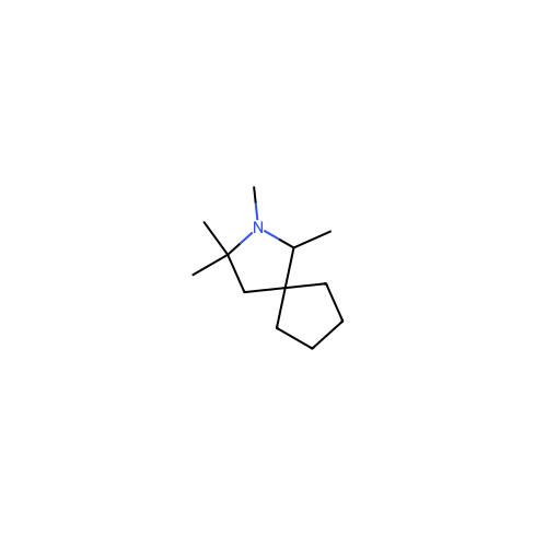 CC1N(C)C(C)(C)CC12CCCC2